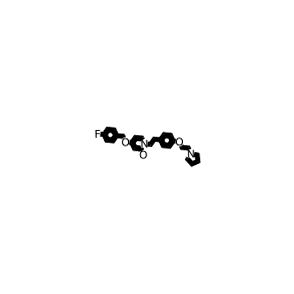 O=c1cc(OCc2ccc(F)cc2)ccn1CCc1ccc(OCCN2CCCC2)cc1